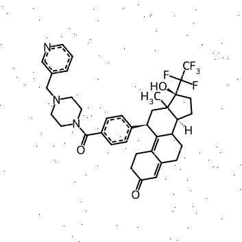 CC12C[C@H](c3ccc(C(=O)N4CCN(Cc5cccnc5)CC4)cc3)C3=C4CCC(=O)C=C4CCC3[C@@H]1CC[C@@]2(O)C(F)(F)C(F)(F)F